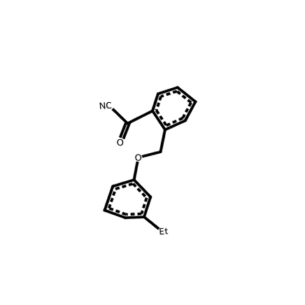 CCc1cccc(OCc2ccccc2C(=O)C#N)c1